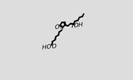 CCCCC[C@](C)(O)CCC1=CCC(=O)[C@@H]1CCCCCCC(=O)O